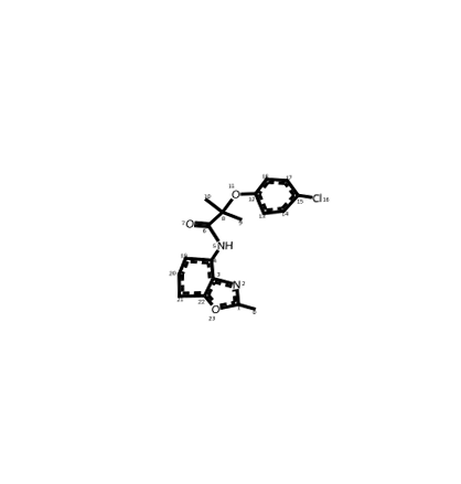 Cc1nc2c(NC(=O)C(C)(C)Oc3ccc(Cl)cc3)cccc2o1